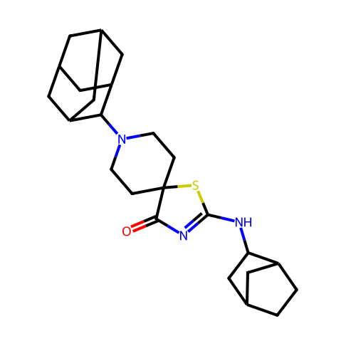 O=C1N=C(NC2CC3CCC2C3)SC12CCN(C1C3CC4CC(C3)CC1C4)CC2